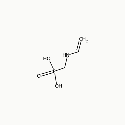 C=CNCP(=O)(O)O